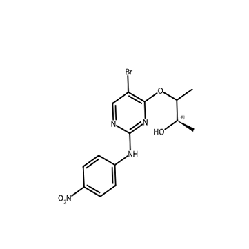 CC(Oc1nc(Nc2ccc([N+](=O)[O-])cc2)ncc1Br)[C@@H](C)O